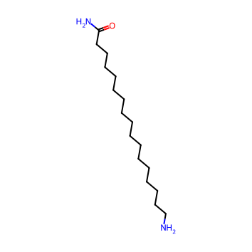 NCCCCCCCCCCCCCCCCC(N)=O